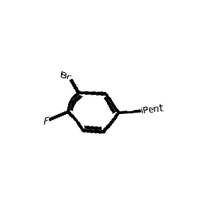 CCCC(C)c1ccc(F)c(Br)c1